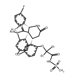 CCC(CC)(Oc1ccc(Cl)cc1[C@H]1CC(=O)N[C@@H](c2cc(F)ccc2C)[C@]12C(=O)N(C(C)=O)c1cc(Cl)ccc12)C(=O)NS(C)(=O)=O